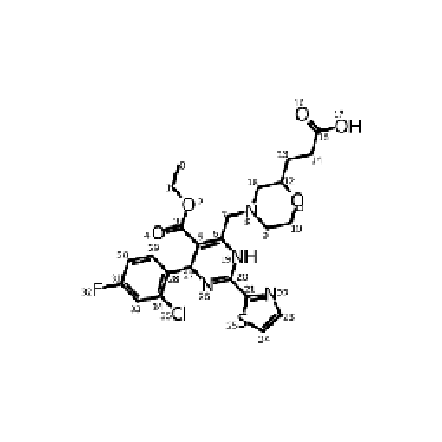 CCOC(=O)C1=C(CN2CCOC(CCC(=O)O)C2)NC(c2nccs2)=NC1c1ccc(F)cc1Cl